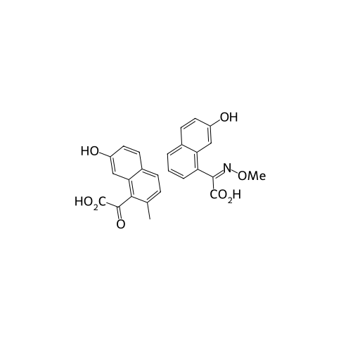 CON=C(C(=O)O)c1cccc2ccc(O)cc12.Cc1ccc2ccc(O)cc2c1C(=O)C(=O)O